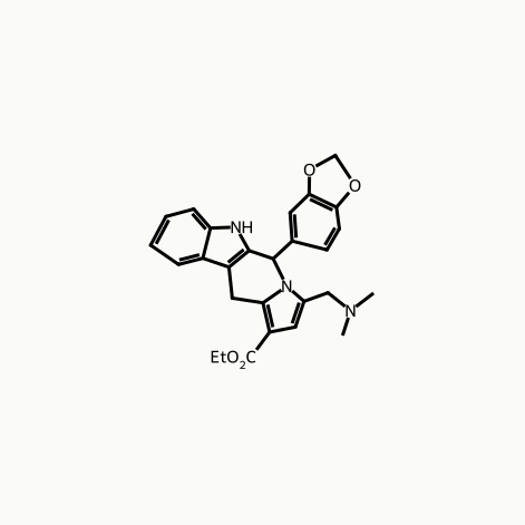 CCOC(=O)c1cc(CN(C)C)n2c1Cc1c([nH]c3ccccc13)C2c1ccc2c(c1)OCO2